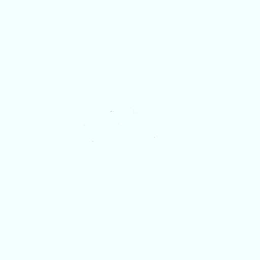 O=C1CC([SeH])(c2ccccc2)C(=O)O1